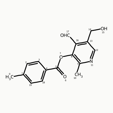 Cc1ccc(C(=O)Oc2c(C)ncc(CO)c2C=O)cc1